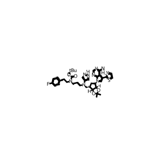 CC(C)(C)OC(=O)N(CCCN(C[C@H]1C[C@@H](n2cc(-c3nccs3)c3c(N)ncnc32)[C@@H]2OC(C)(C)O[C@H]12)c1cn[nH]c1)CCc1ccc(F)cc1